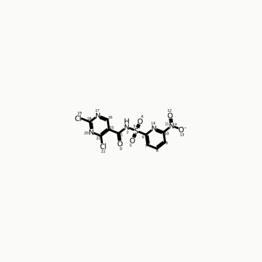 O=C(NS(=O)(=O)c1cccc([N+](=O)[O-])n1)c1cnc(Cl)nc1Cl